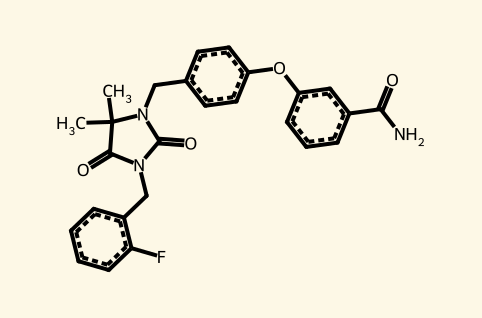 CC1(C)C(=O)N(Cc2ccccc2F)C(=O)N1Cc1ccc(Oc2cccc(C(N)=O)c2)cc1